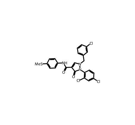 CSc1ccc(NC(=O)c2cn(Cc3cccc(Cl)c3)n(-c3ccc(Cl)cc3Cl)c2=O)cc1